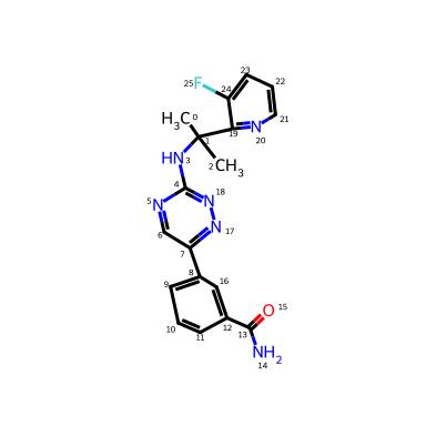 CC(C)(Nc1ncc(-c2cccc(C(N)=O)c2)nn1)c1ncccc1F